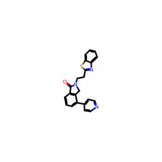 O=C1c2cccc(-c3ccncc3)c2CN1CCc1nc2ccccc2s1